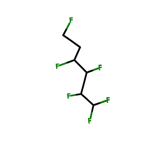 FCCC(F)C(F)C(F)C(F)F